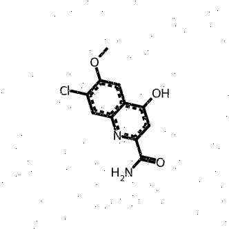 COc1cc2c(O)cc(C(N)=O)nc2cc1Cl